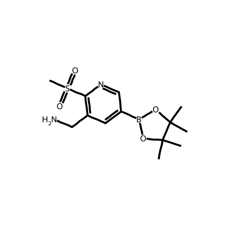 CC1(C)OB(c2cnc(S(C)(=O)=O)c(CN)c2)OC1(C)C